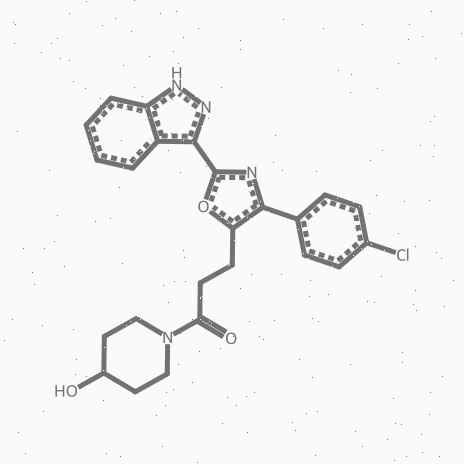 O=C(CCc1oc(-c2n[nH]c3ccccc23)nc1-c1ccc(Cl)cc1)N1CCC(O)CC1